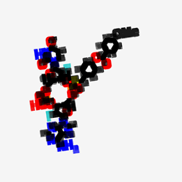 COc1ccc(C(=O)Oc2ccc(CS[P@]3(=O)OC[C@H]4O[C@@H](n5cnc6c(N)ncnc65)C(F)C4O[P@@](=O)(O)OC[C@H]4O[C@@H](n5ccc(=O)[nH]c5=O)[C@@H](F)[C@H]4O3)cc2)cc1